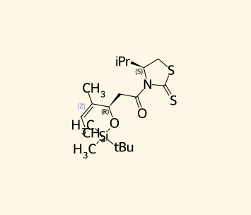 C/C=C(/C)[C@@H](CC(=O)N1C(=S)SC[C@@H]1C(C)C)O[Si](C)(C)C(C)(C)C